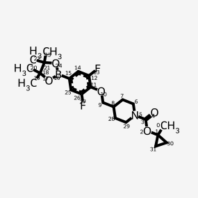 CC1(OC(=O)N2CCC(COc3c(F)cc(B4OC(C)(C)C(C)(C)O4)cc3F)CC2)CC1